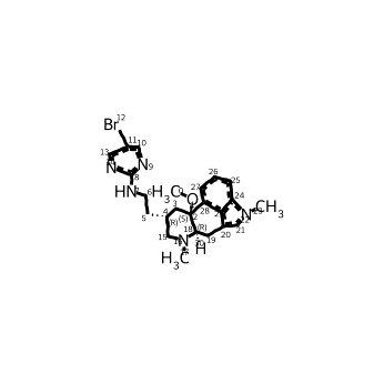 CO[C@]12C[C@@H](CCNc3ncc(Br)cn3)CN(C)[C@@H]1Cc1cn(C)c3cccc2c13